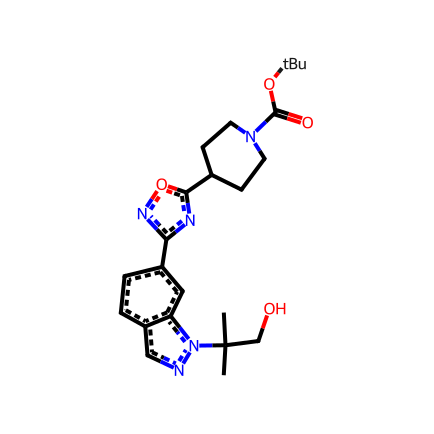 CC(C)(C)OC(=O)N1CCC(c2nc(-c3ccc4cnn(C(C)(C)CO)c4c3)no2)CC1